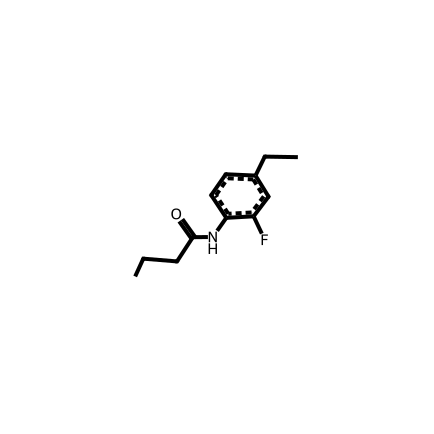 CCCC(=O)Nc1ccc(CC)cc1F